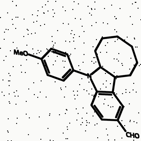 COc1ccc(N2c3ccc(C=O)cc3C3CCCCCCC32)cc1